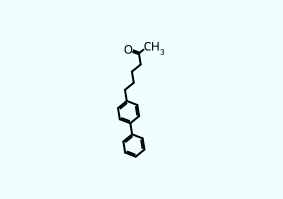 CC(=O)CCCCc1ccc(-c2ccccc2)cc1